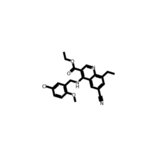 CCOC(=O)c1cnc2c(CC)cc(C#N)cc2c1NCc1cc(Cl)ccc1OC